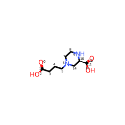 O=C(O)CCCN1CCN[C@@H](C(=O)O)C1